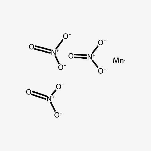 O=[N+]([O-])[O-].O=[N+]([O-])[O-].O=[N+]([O-])[O-].[Mn]